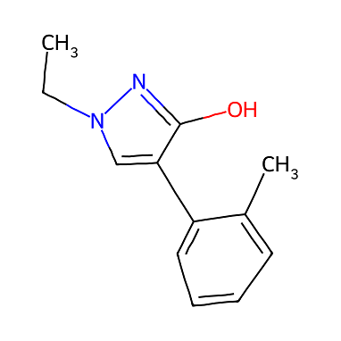 CCn1cc(-c2ccccc2C)c(O)n1